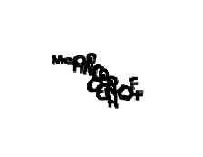 COC(=O)N[C@H]1CCOc2c1ccc(Cl)c2C(=O)Nc1ccc(F)c(F)c1